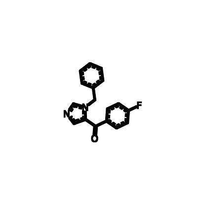 O=C(c1ccc(F)cc1)c1cncn1Cc1ccccc1